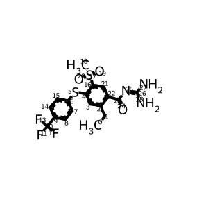 CCc1cc(Sc2ccc(C(F)(F)F)cc2)c(S(C)(=O)=O)cc1C(=O)N=C(N)N